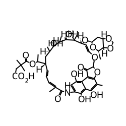 C/C1=C/C=C/[C@H](C(C)OC(=O)C(C)(C)CC(=O)O)C[C@@H](C)[C@@H](O)[C@@H](C)[C@H](O)[C@H](C)[C@@H](O[C@H]2C[C@@H]3OCO[C@@H]3[C@@H](C)O2)/C=C/O[C@@]2(C)Oc3c(C)c(O)c4c(O)c(cc(O)c4c3C2=O)NC1=O